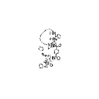 O=C1NCCCCCCCCCCCNC(=O)[C@H](CNC(=O)c2ccc(C(=O)N3C[C@@H](C(=O)N[C@H]4C[C@@H]4c4ccccc4)[C@H](C(=O)N[C@H]4C[C@@H]4c4ccccc4)C3)cc2)N1